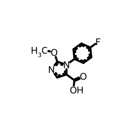 COc1ncc(C(=O)O)n1-c1ccc(F)cc1